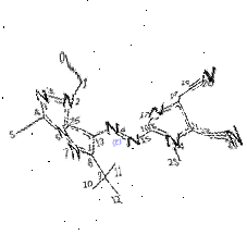 CCn1nc(C)n2nc(C(C)(C)C)c(/N=N/c3nc(C#N)c(C#N)n3C)c12